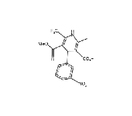 COC(=O)C1=C(C(F)(F)F)NC(C)=C(C(=O)O)C1c1cccc([N+](=O)[O-])c1